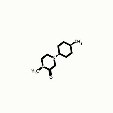 CN1CCN([C@H]2CC[C@H](C)CC2)CC1=O